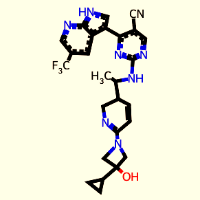 CC(Nc1ncc(C#N)c(-c2c[nH]c3ncc(C(F)(F)F)cc23)n1)C1C=CC(N2CC(O)(C3CC3)C2)=NC1